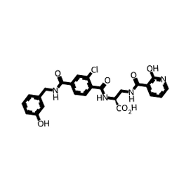 O=C(NCc1cccc(O)c1)c1ccc(C(=O)N[C@@H](CNC(=O)c2cccnc2O)C(=O)O)c(Cl)c1